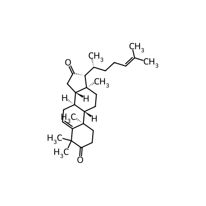 CC(C)=CCC[C@@H](C)[C@H]1C(=O)C[C@H]2[C@@H]3CC=C4C(C)(C)C(=O)CC[C@]4(C)[C@H]3CC[C@]12C